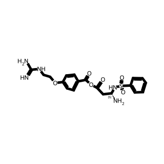 N=C(N)NCCOc1ccc(C(=O)OC(=O)C[C@@H](N)NS(=O)(=O)c2ccccc2)cc1